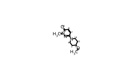 COC1CCN(c2ccc(=O)n(C)n2)CC1